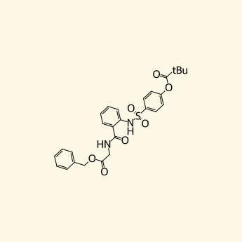 CC(C)(C)C(=O)Oc1ccc(S(=O)(=O)Nc2ccccc2C(=O)NCC(=O)OCc2ccccc2)cc1